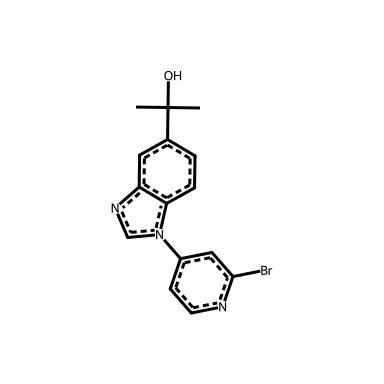 CC(C)(O)c1ccc2c(c1)ncn2-c1ccnc(Br)c1